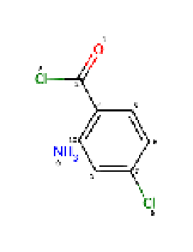 N.O=C(Cl)c1ccc(Cl)cc1